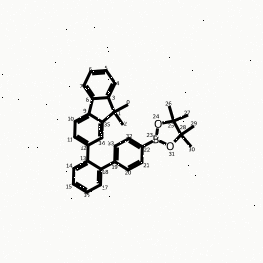 CC1(C)c2ccccc2-c2ccc(-c3ccccc3-c3ccc(B4OC(C)(C)C(C)(C)O4)cc3)cc21